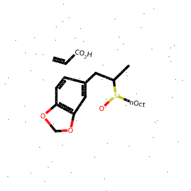 C=CC(=O)O.CCCCCCCC[S+]([O-])C(C)Cc1ccc2c(c1)OCO2